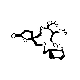 C=C(OCC1(COCc2ccccc2)CCC(=O)O1)C(C)CC